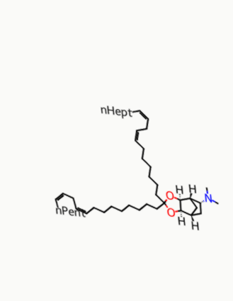 CCCCC/C=C\C/C=C\CCCCCCCCC1(CCCCCC/C=C\C/C=C\CCCCCCC)O[C@@H]2[C@@H]3C[C@H]([C@@H]2O1)[C@H](N(C)C)C3